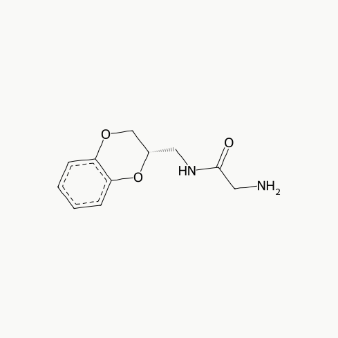 NCC(=O)NC[C@H]1COc2ccccc2O1